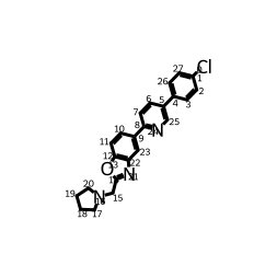 Clc1ccc(-c2ccc(-c3ccc4oc(CN5CCCC5)nc4c3)nc2)cc1